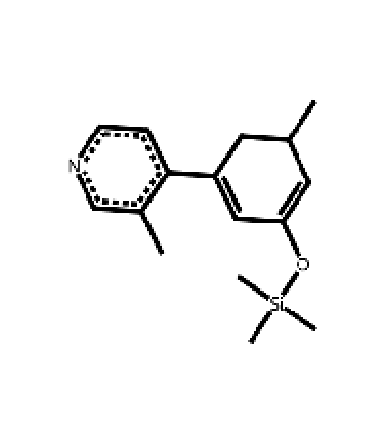 Cc1cnccc1C1=CC(O[Si](C)(C)C)=CC(C)C1